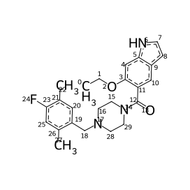 CCOc1cc2[nH]ccc2cc1C(=O)N1CCN(Cc2cc(C)c(F)cc2C)CC1